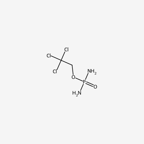 NP(N)(=O)OCC(Cl)(Cl)Cl